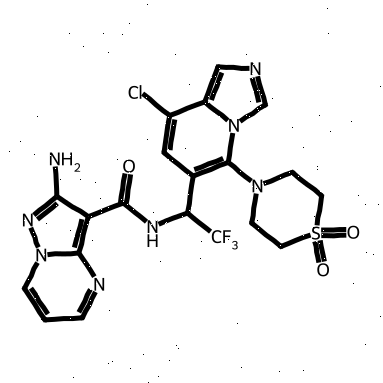 Nc1nn2cccnc2c1C(=O)NC(c1cc(Cl)c2cncn2c1N1CCS(=O)(=O)CC1)C(F)(F)F